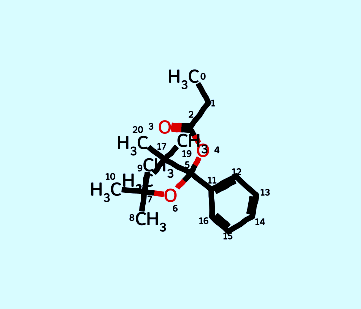 CCC(=O)OC(OC(C)(C)C)(c1ccccc1)C(C)(C)C